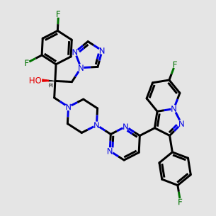 O[C@](CN1CCN(c2nccc(-c3c(-c4ccc(F)cc4)nn4cc(F)ccc34)n2)CC1)(Cn1cncn1)c1ccc(F)cc1F